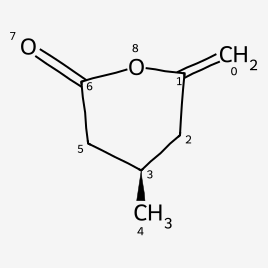 C=C1C[C@@H](C)CC(=O)O1